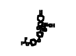 O=C(NO)C1(S(=O)(=O)c2ccc(Oc3ccc(OC(F)F)cc3)cc2)CCC2(CCNCC2)C1